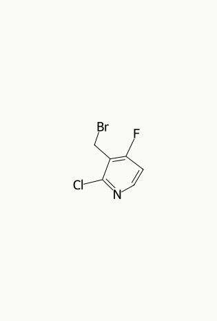 Fc1ccnc(Cl)c1CBr